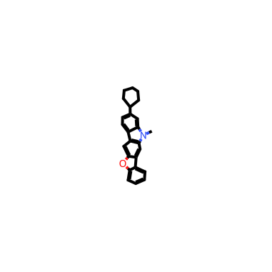 Cn1c2cc(C3CCCCC3)ccc2c2cc3oc4ccccc4c3cc21